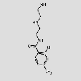 Cc1ccc(C(=O)NCCNCCN)c(Cl)n1